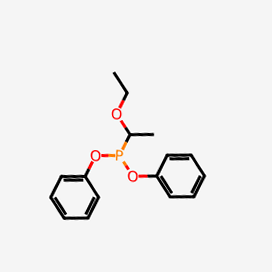 CCOC(C)P(Oc1ccccc1)Oc1ccccc1